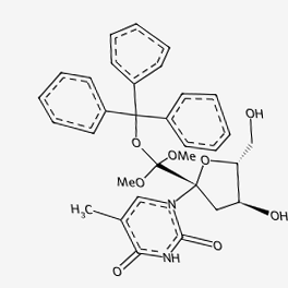 COC(OC)(OC(c1ccccc1)(c1ccccc1)c1ccccc1)[C@]1(n2cc(C)c(=O)[nH]c2=O)C[C@H](O)[C@@H](CO)O1